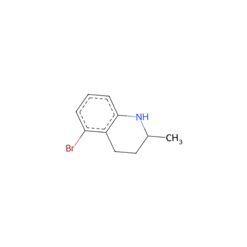 CC1CCc2c(Br)cccc2N1